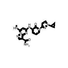 CNc1cc(Nc2cccn(-c3ccn(C4CC4)n3)c2=O)nc2c(C(N)=O)cnn12